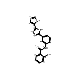 O=C(Nc1cccc(-c2nnc(-c3cncs3)o2)c1)c1ccccc1F